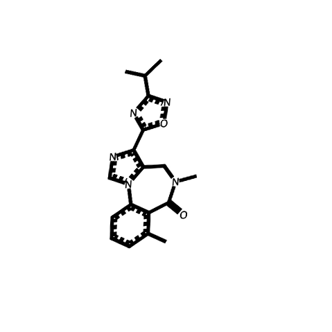 Cc1cccc2c1C(=O)N(C)Cc1c(-c3nc(C(C)C)no3)ncn1-2